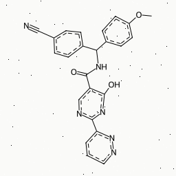 COc1ccc(C(NC(=O)c2cnc(-c3cccnn3)nc2O)c2ccc(C#N)cc2)cc1